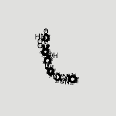 O=C1CCC(N2Cc3cc(C4(O)CCN(Cc5ccc(N6CCC(Oc7ncc8c(n7)CCCC8)CC6)cc5)CC4)ccc3C2=O)C(=O)N1